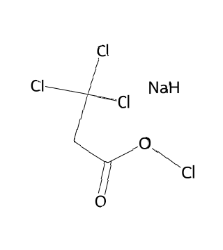 O=C(CC(Cl)(Cl)Cl)OCl.[NaH]